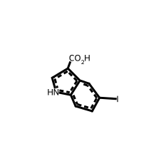 O=C(O)c1c[nH]c2ccc(I)cc12